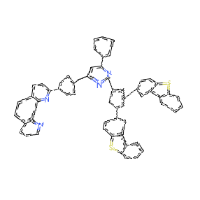 c1ccc(-c2cc(-c3ccc(-c4ccc5ccc6cccnc6c5n4)cc3)nc(-c3cc(-c4ccc5sc6ccccc6c5c4)cc(-c4ccc5sc6ccccc6c5c4)c3)n2)cc1